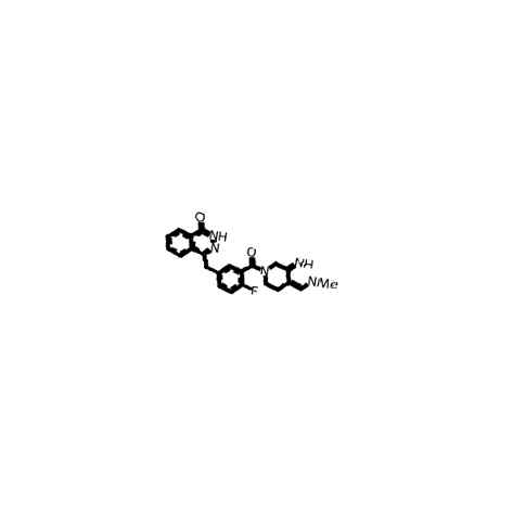 CN/C=C1/CCN(C(=O)c2cc(Cc3n[nH]c(=O)c4ccccc34)ccc2F)CC1=N